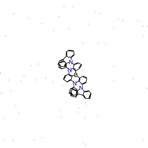 c1ccc(N2c3cccc4c3B(c3cccc(-n5c6ccccc6c6ccccc65)c32)c2cccc(-n3c5ccccc5c5ccccc53)c2N4c2ccccc2)cc1